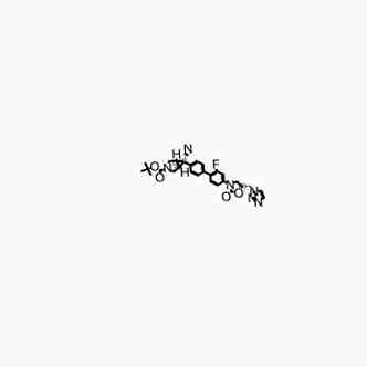 CC(C)(C)OC(=O)N1C[C@@H]2[C@H](C1)[C@@]2(C#N)c1ccc(-c2ccc(N3C[C@H](Cn4ccnn4)OC3=O)cc2F)cc1